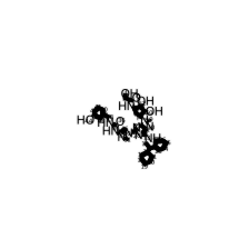 O=C(CO)N[C@H]1C[C@@H](n2cnc3c(NCC(c4ccccc4)c4ccccc4)nc(-n4cnc(NC(=O)NCc5cccc(O)c5)c4)nc32)[C@H](O)[C@@H]1O